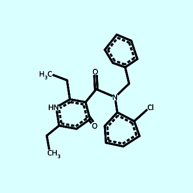 CCc1cc(=O)c(C(=O)N(Cc2ccccc2)c2ccccc2Cl)c(CC)[nH]1